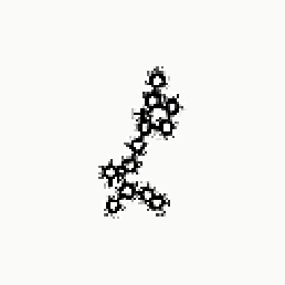 CC1CC=Cc2c1n(-c1cc(-c3ccccc3)cc(-c3ccc4ccccc4c3)c1)c1ccc(-c3ccc(-c4ccc5c(c4)-c4cccc(c4)C4C=CC=CC4c4cc(-c6ccccc6)ccc4N5)cc3)cc21